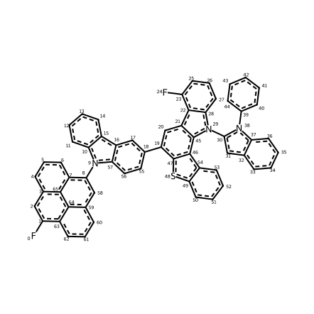 Fc1cc2cccc3c(-n4c5ccccc5c5cc(-c6cc7c8c(F)cccc8n(-c8cc9ccccc9n8-c8ccccc8)c7c7c6sc6ccccc67)ccc54)cc4cccc1c4c23